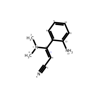 CN(C)/C(=C\C#N)c1ccccc1N